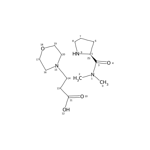 CN(C)C(=O)[C@@H]1CCCN1.O=C(O)CCN1CCOCC1